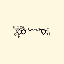 CC1(C)OC(=O)Nc2ccc(OCCCC=NSc3ccc(Cl)c(Cl)c3)cc21